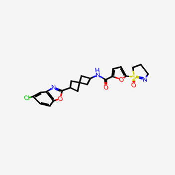 O=C(NC1CC2(C1)CC(c1nc3cc(Cl)ccc3o1)C2)c1ccc(S2(=O)=NCCC2)o1